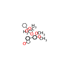 COc1ccc(-c2cccc3c2CCC3=O)c(OCC(C)(C)OC(=O)C2CCCCC2)c1OC